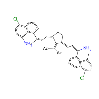 CC(=O)C(C(C)=O)=C1/C(=C\C=C(\C)c2cccc3c(Cl)ccc(N)c23)CC/C1=C\C=C(\N)c1cccc2c(Cl)ccc(C)c12